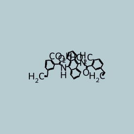 C=Cc1ccc(C(=O)O)c(C(=O)Nc2c3ccccc3c(NC(=O)c3cc(C=C)ccc3C(=O)O)c3ccccc23)c1